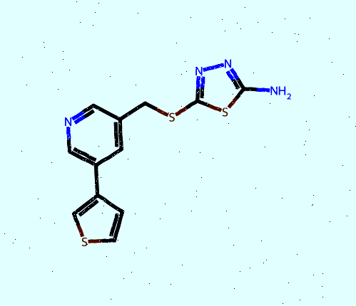 Nc1nnc(SCc2cncc(-c3ccsc3)c2)s1